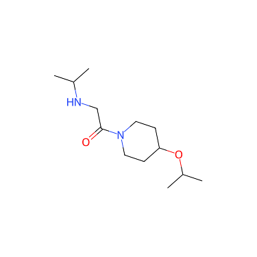 CC(C)NCC(=O)N1CCC(OC(C)C)CC1